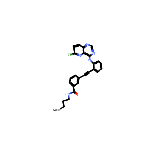 COCCCNC(=O)c1cccc(C#Cc2ccccc2Nc2ncnc3ccc(Cl)nc23)c1